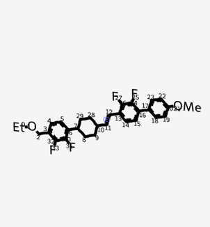 CCOCc1ccc(C2CCC(/C=C/c3ccc(-c4ccc(OC)cc4)c(F)c3F)CC2)c(F)c1F